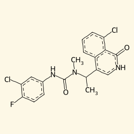 CC(c1c[nH]c(=O)c2c(Cl)cccc12)N(C)C(=O)Nc1ccc(F)c(Cl)c1